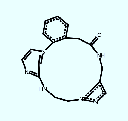 O=C1Cc2ccccc2S2=CC(=NC=C2)NCCn2cc(cn2)CN1